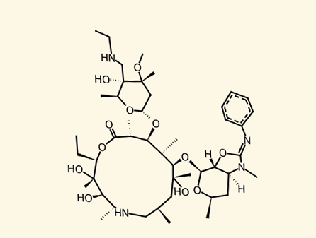 CCNC[C@]1(O)[C@H](C)O[C@@H](O[C@H]2[C@H](C)[C@@H](O[C@@H]3O[C@H](C)C[C@H]4[C@H]3O/C(=N\c3ccccc3)N4C)[C@](C)(O)C[C@@H](C)CN[C@H](C)[C@@H](O)[C@](C)(O)[C@@H](CC)OC(=O)[C@@H]2C)C[C@@]1(C)OC